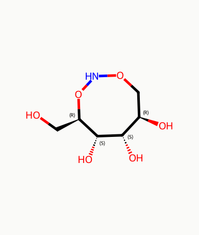 OC[C@H]1ONOC[C@@H](O)[C@H](O)[C@@H]1O